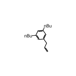 C=CCc1[c]c(CCCC)cc(CCCC)c1